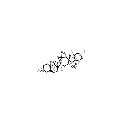 C[C@@H]1CN[C@H]2[C@@H](C)[C@@]3(CC[C@H]4[C@@H]5CC=C6C[C@@H](O)CC[C@]6(C)[C@H]5CC45CC5(C)C3)O[C@@H]2C1